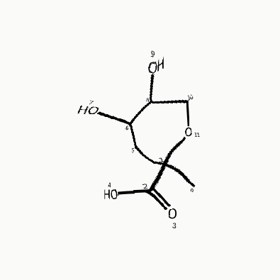 CC1(C(=O)O)CC(O)C(O)CO1